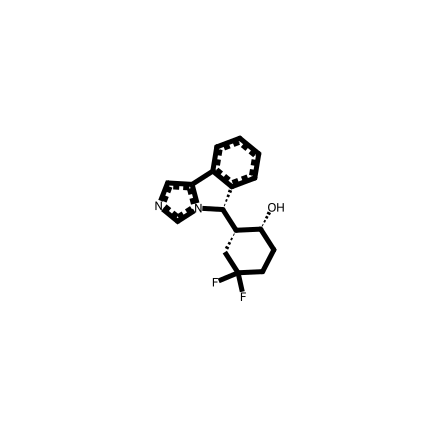 O[C@@H]1CCC(F)(F)C[C@@H]1[C@H]1c2ccccc2-c2cncn21